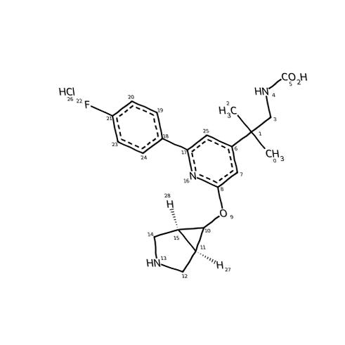 CC(C)(CNC(=O)O)c1cc(OC2[C@H]3CNC[C@@H]23)nc(-c2ccc(F)cc2)c1.Cl